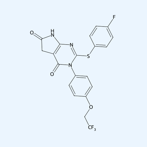 O=C1Cc2c(nc(Sc3ccc(F)cc3)n(-c3ccc(OCC(F)(F)F)cc3)c2=O)N1